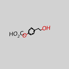 O=C(O)Oc1ccc(CCO)cc1